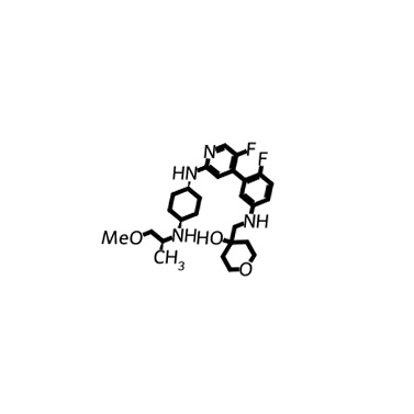 COC[C@H](C)N[C@H]1CC[C@H](Nc2cc(-c3cc(NCC4(O)CCOCC4)ccc3F)c(F)cn2)CC1